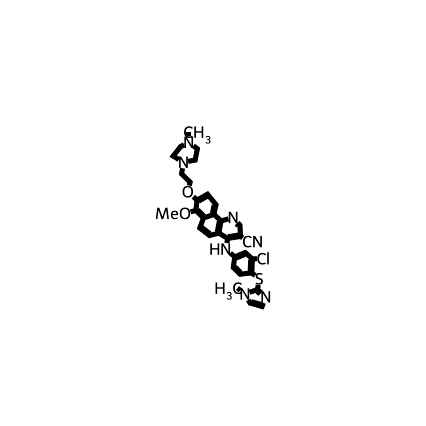 COc1c(OCCN2CCN(C)CC2)ccc2c1ccc1c(Nc3ccc(Sc4nccn4C)c(Cl)c3)c(C#N)cnc12